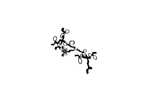 C=CC(=C)CCC(COC(=O)C=C)(COC(=O)C=C)COC(=O)CCN(CCC[Si](C)(OCC)OCC)CCC(=O)OCC(CCC(=O)C=C)(COC(=O)C=C)COC(=O)C=C